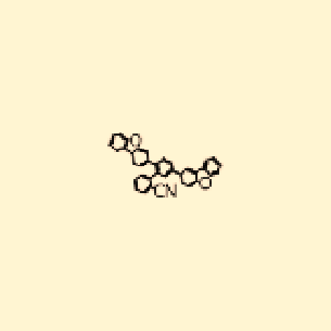 N#Cc1ccccc1-c1cc(-c2ccc3oc4ccccc4c3c2)ccc1-c1ccc2c(c1)oc1ccccc12